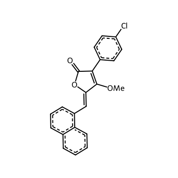 COC1=C(c2ccc(Cl)cc2)C(=O)O/C1=C\c1cccc2ccccc12